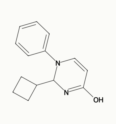 OC1=NC(C2CCC2)N(c2ccccc2)C=C1